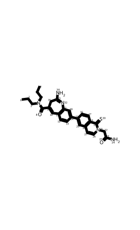 CCCN(CCC)C(=O)C1=Cc2ccc(-c3ccc4c(=S)n(CC(N)=O)ccc4c3)cc2N=C(N)C1